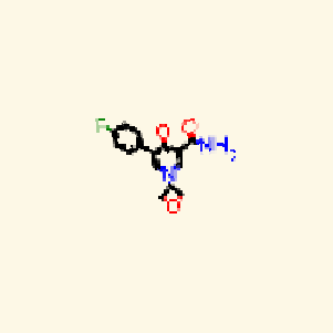 NC(=O)c1cn(C2COC2)cc(-c2ccc(F)cc2)c1=O